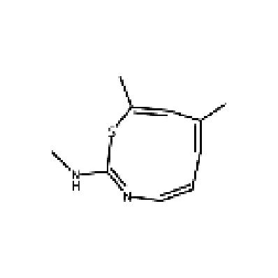 CNc1ncccc(C)cc(C)s1